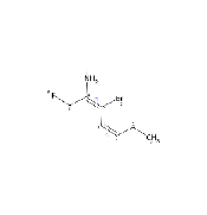 CC/C=C\C(Br)=C(\N)CF